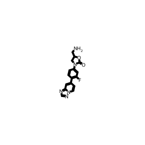 NCC1CN(c2ccc(-c3ccn4ncnc4c3)c(F)c2)C(=O)O1